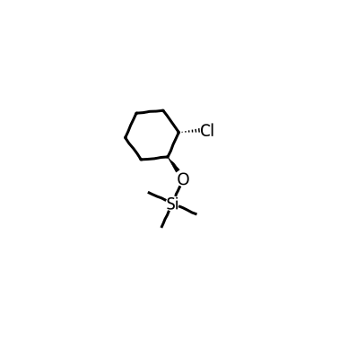 C[Si](C)(C)O[C@H]1CCCC[C@@H]1Cl